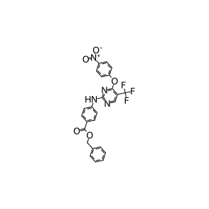 O=C(OCc1ccccc1)c1ccc(Nc2ncc(C(F)(F)F)c(Oc3ccc([N+](=O)[O-])cc3)n2)cc1